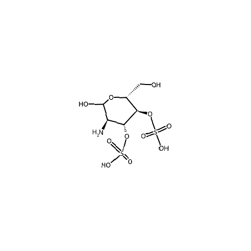 N[C@H]1C(O)O[C@H](CO)[C@@H](OS(=O)(=O)O)[C@@H]1OS(=O)(=O)O